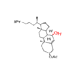 CC(=O)O[C@H]1CC[C@@]2(C)C(=C[C@H](O)C3[C@@H]4CC[C@H]([C@H](C)CCCC(C)C)[C@@]4(C)CC[C@@H]32)C1